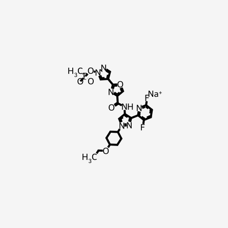 CCOC1CCC(n2cc(NC(=O)c3coc(-c4cnn(OP(C)(=O)[O-])c4)n3)c(-c3nc(F)ccc3F)n2)CC1.[Na+]